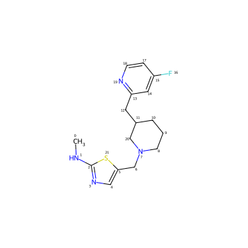 CNc1ncc(CN2CCCC(Cc3cc(F)ccn3)C2)s1